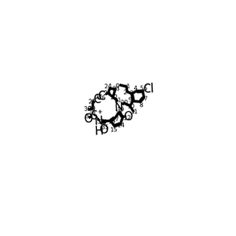 CCCc1cc(Cl)ccc1C1COc2ccc3cc2N(C1)CC1CCC1CCCC(C)[S+]([O-])NC3=O